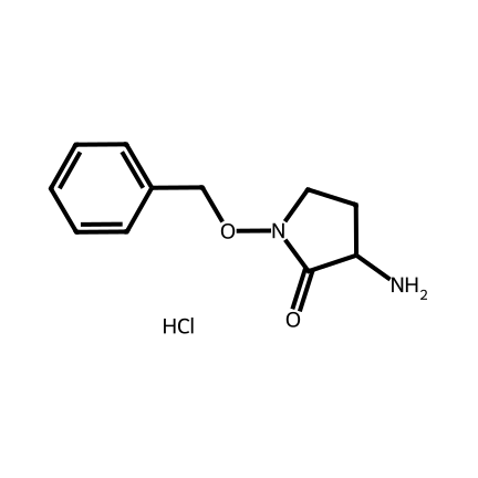 Cl.NC1CCN(OCc2ccccc2)C1=O